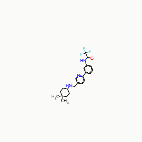 CC1(C)CCC(NCc2ccc(-c3cccc(NC(=O)C(F)(F)F)c3)nc2)CC1